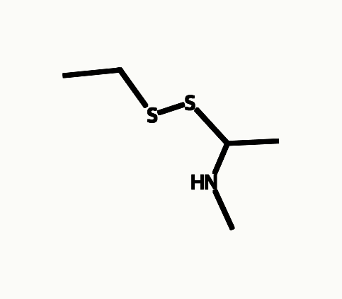 CCSSC(C)NC